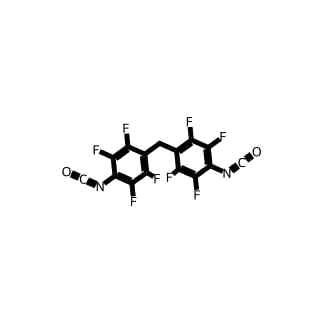 O=C=Nc1c(F)c(F)c(Cc2c(F)c(F)c(N=C=O)c(F)c2F)c(F)c1F